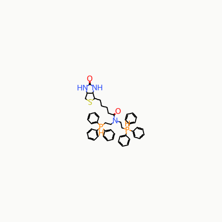 O=C1NC2CSC(CCCCC(=O)N(CC[PH](c3ccccc3)(c3ccccc3)c3ccccc3)CC[PH](c3ccccc3)(c3ccccc3)c3ccccc3)C2N1